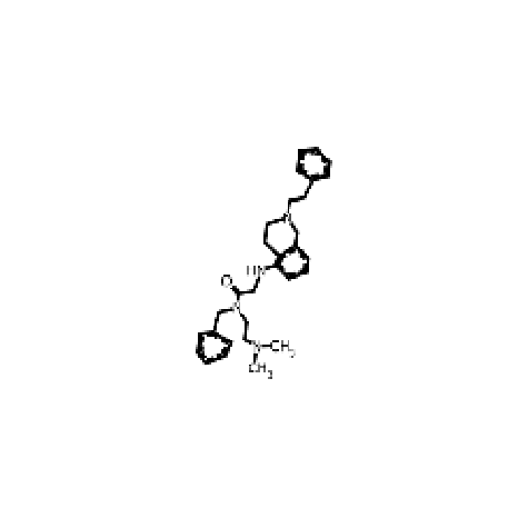 CN(C)CCN(Cc1ccccc1)C(=O)CNc1cccc2c1CCN(CCc1ccccc1)C2